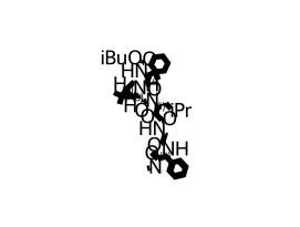 CC(C)COC(=O)N[C@H](C(=O)N1C[C@H]2[C@@H]([C@H]1C(=O)N[C@@H](CC(C)C)C(=O)C(=O)NCC(=O)N[C@H](C(=O)N(C)C)c1ccccc1)C2(C)C)C1(C)CCCCC1